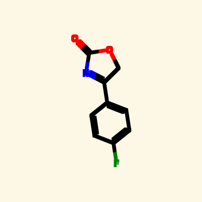 O=C1N=C(c2ccc(F)cc2)CO1